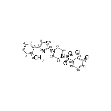 Cc1ccccc1-c1csc(N2CCN(S(=O)(=O)c3cccc(Cl)c3Cl)CC2)n1